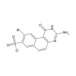 Nc1nc2ccc3cc(S(=O)(=O)Cl)c(Br)cc3c2c(=O)[nH]1